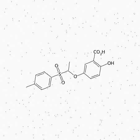 Cc1ccc(S(=O)(=O)C(C)Oc2ccc(O)c(C(=O)O)c2)cc1